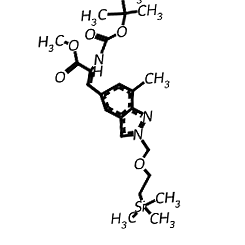 COC(=O)/C(=C/c1cc(C)c2nn(COCC[Si](C)(C)C)cc2c1)NC(=O)OC(C)(C)C